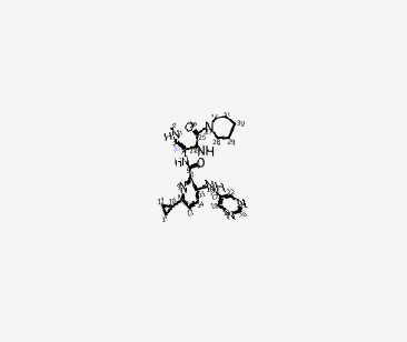 CN/C=C(/NC(=O)c1nc(C2CC2)ccc1Nc1cncnc1)C(=N)C(=O)N1CCCCC1